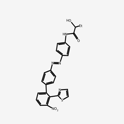 CCC(O)C(=O)Nc1ccc(/N=N/c2ccc(-c3cccc([N+](=O)[O-])c3-c3nccs3)cc2)cc1